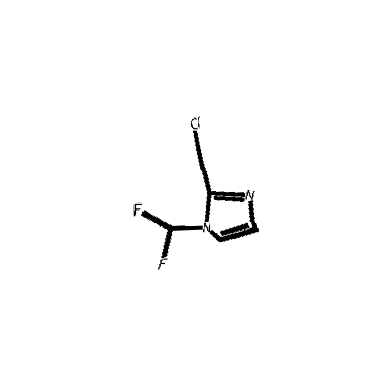 FC(F)n1ccnc1CCl